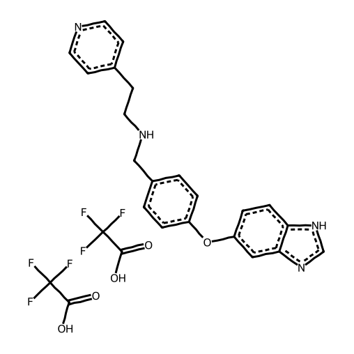 O=C(O)C(F)(F)F.O=C(O)C(F)(F)F.c1cc(CCNCc2ccc(Oc3ccc4[nH]cnc4c3)cc2)ccn1